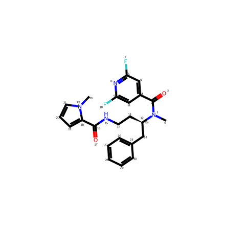 CN(C(=O)c1cc(F)nc(F)c1)[C@H](CCNC(=O)c1cccn1C)Cc1ccccc1